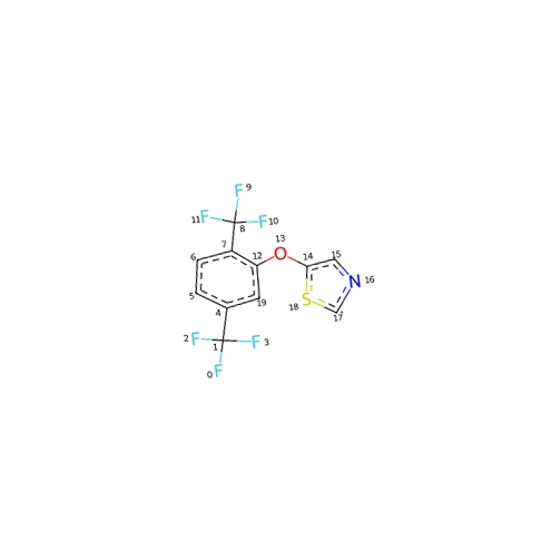 FC(F)(F)c1ccc(C(F)(F)F)c(Oc2cn[c]s2)c1